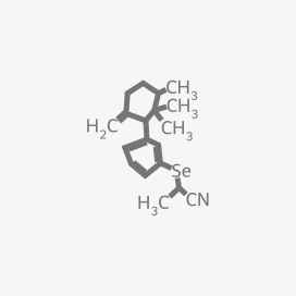 C=C1CCC(C)C(C)(C)C1c1cccc([Se]C(C)C#N)c1